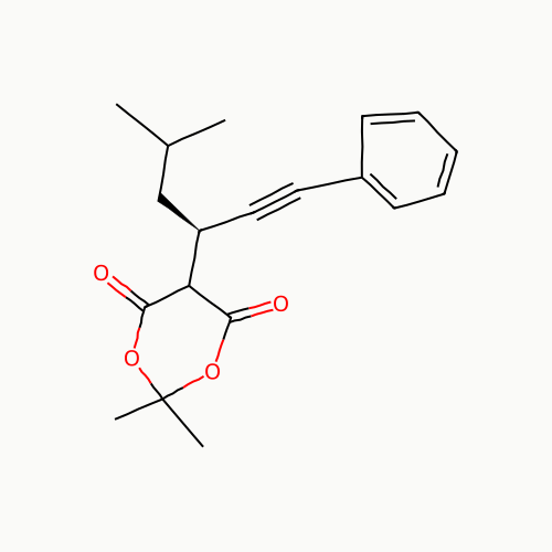 CC(C)C[C@@H](C#Cc1ccccc1)C1C(=O)OC(C)(C)OC1=O